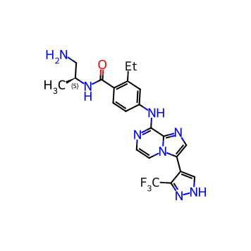 CCc1cc(Nc2nccn3c(-c4c[nH]nc4C(F)(F)F)cnc23)ccc1C(=O)N[C@@H](C)CN